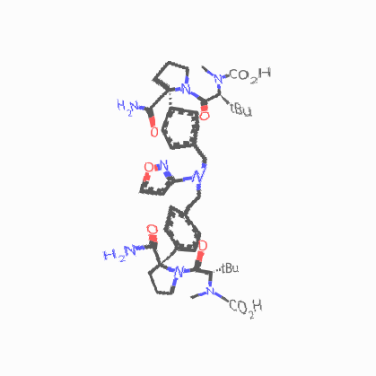 CN(C(=O)O)[C@H](C(=O)N1CCC[C@@]1(C(N)=O)c1ccc(CN(Cc2ccc([C@]3(C(N)=O)CCCN3C(=O)[C@@H](N(C)C(=O)O)C(C)(C)C)cc2)c2ccon2)cc1)C(C)(C)C